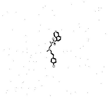 CN(CC=Cc1ccc(Cl)cc1)CCN(C)S(=O)(=O)c1cccc2cnccc12